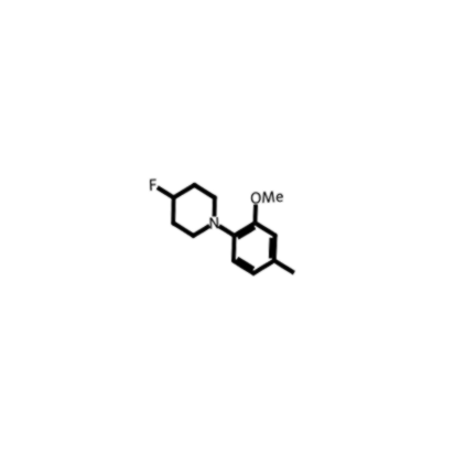 COc1cc(C)ccc1N1CCC(F)CC1